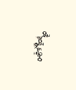 CC(NCCNC(=O)OCc1ccccc1)c1cc(Nc2ccc(NCCc3c[nH]c4ccccc34)cc2)ccn1